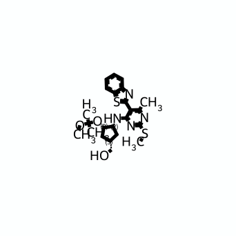 COC(C)(C)O[C@@H]1C[C@@H](CO)C[C@H]1Nc1nc(SC)nc(C)c1-c1nc2ccccc2s1